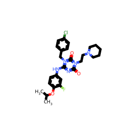 CC(C)Oc1ccc(Nc2nc(=O)n(CCN3CCCCC3)c(=O)n2Cc2ccc(Cl)cc2)cc1F